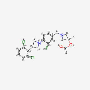 CC(=O)OC1(C)CN(Cc2ccc(N3CC(c4c(Cl)cccc4Cl)C3)c(F)c2)C1